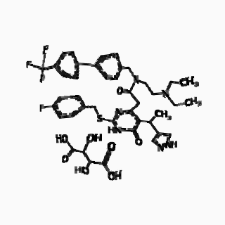 CCN(CC)CCN(Cc1ccc(-c2ccc(C(F)(F)F)cc2)cc1)C(=O)Cc1nc(SCc2ccc(F)cc2)[nH]c(=O)c1C(C)c1cn[nH]c1.O=C(O)C(O)C(O)C(=O)O